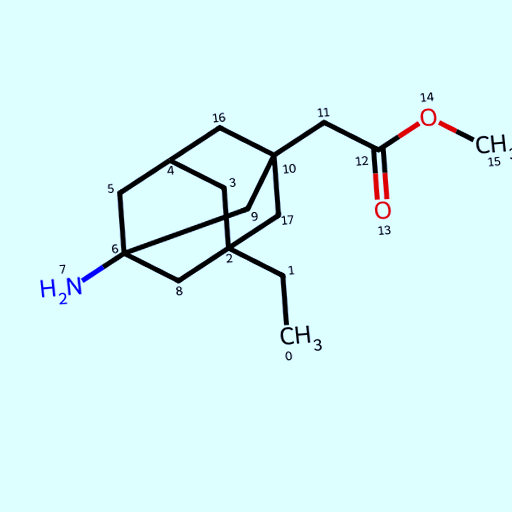 CCC12CC3CC(N)(C1)CC(CC(=O)OC)(C3)C2